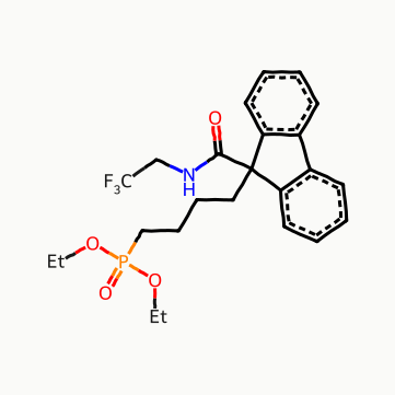 CCOP(=O)(CCCCC1(C(=O)NCC(F)(F)F)c2ccccc2-c2ccccc21)OCC